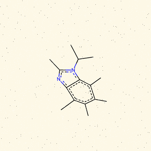 Cc1c(C)c(C)c2c(nc(C)n2C(C)C)c1C